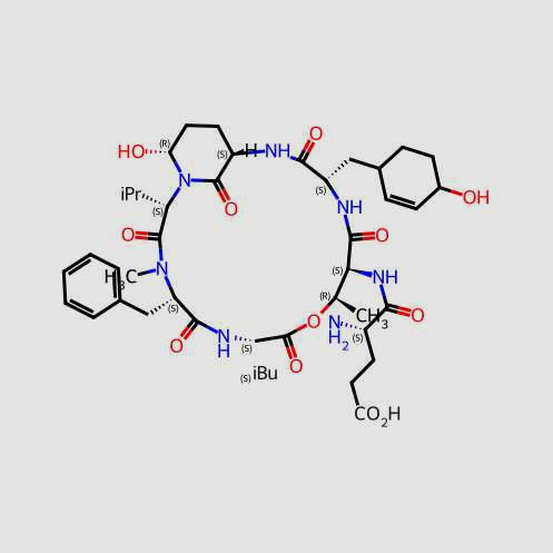 CC[C@H](C)[C@@H]1NC(=O)[C@H](Cc2ccccc2)N(C)C(=O)[C@H](C(C)C)N2C(=O)[C@H](CC[C@H]2O)NC(=O)[C@H](CC2C=CC(O)CC2)NC(=O)[C@@H](NC(=O)[C@@H](N)CCC(=O)O)[C@@H](C)OC1=O